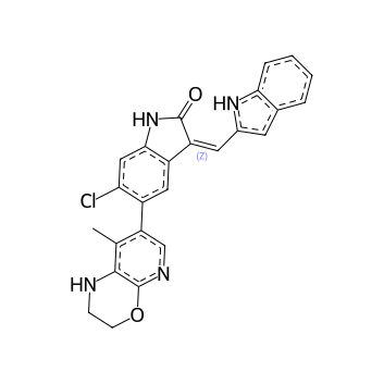 Cc1c(-c2cc3c(cc2Cl)NC(=O)/C3=C\c2cc3ccccc3[nH]2)cnc2c1NCCO2